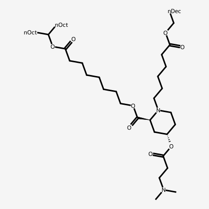 CCCCCCCCCCCOC(=O)CCCCCN1CC[C@H](OC(=O)CCN(C)C)C[C@H]1C(=O)OCCCCCCCC(=O)OC(CCCCCCCC)CCCCCCCC